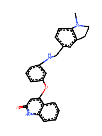 CN1CCc2cc(CNc3cccc(Oc4cc(=O)[nH]c5ccccc45)c3)ccc21